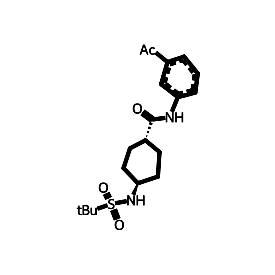 CC(=O)c1cccc(NC(=O)[C@H]2CC[C@H](NS(=O)(=O)C(C)(C)C)CC2)c1